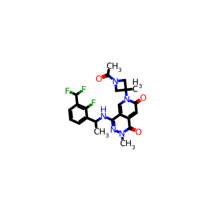 CC(=O)N1CC(C)(n2cc3c(NC(C)c4cccc(C(F)F)c4F)nn(C)c(=O)c3cc2=O)C1